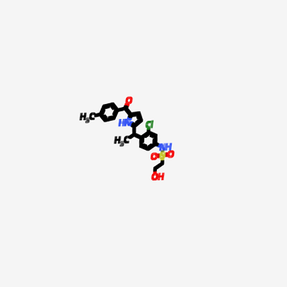 Cc1ccc(C(=O)c2ccc(C(C)c3ccc(NS(=O)(=O)CCO)cc3Cl)[nH]2)cc1